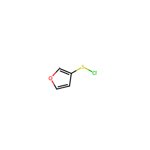 ClSc1[c]occ1